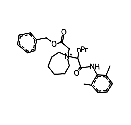 CCCC(C(=O)Nc1c(C)cccc1C)[N+]1(CC(=O)OCc2ccccc2)CCCCCC1